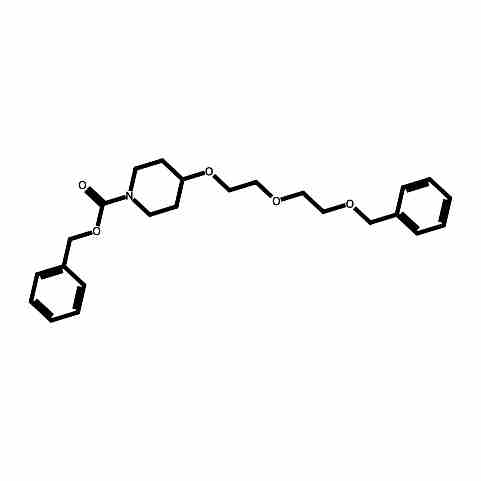 O=C(OCc1ccccc1)N1CCC(OCCOCCOCc2ccccc2)CC1